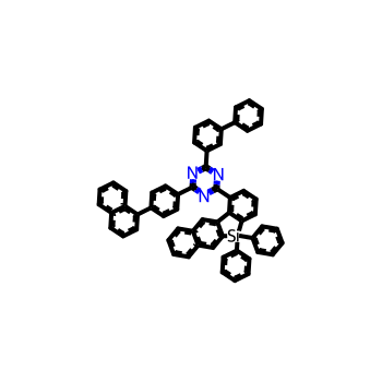 c1ccc(-c2cccc(-c3nc(-c4ccc(-c5cccc6ccccc56)cc4)nc(-c4cccc5c4-c4cc6ccccc6cc4[Si]5(c4ccccc4)c4ccccc4)n3)c2)cc1